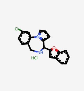 Cl.Clc1ccc2c(c1)-n1cccc1C(c1cc3ccccc3o1)NC2